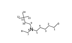 CCCCCCN(CC)CCC(C)(C)C